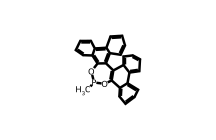 Cp1oc2c3ccccc3c3ccccc3c2c2c3ccccc3c3ccccc3c2o1